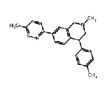 Cc1ccc(C2CN(C)Cc3cc(-c4ccc(C)nn4)ccc32)cc1